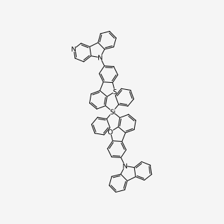 c1ccc([Si](c2ccccc2)(c2cccc3c2oc2ccc(-n4c5ccccc5c5ccccc54)cc23)c2cccc3c2sc2ccc(-n4c5ccccc5c5cnccc54)cc23)cc1